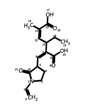 C=CN1CCC(C=C(C(=O)O)C(C=C(C)C(=O)O)CC)C1=O